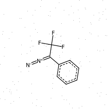 [N-]=[N+]=C(c1ccccc1)C(F)(F)F